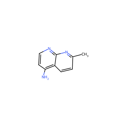 Cc1ccc2c(N)ccnc2n1